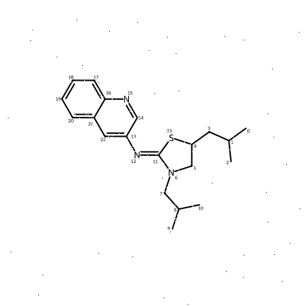 CC(C)CC1CN(CC(C)C)/C(=N/c2cnc3ccccc3c2)S1